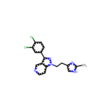 Cc1nc(CCn2nc(-c3ccc(Cl)c(Cl)c3)c3cnccc32)c[nH]1